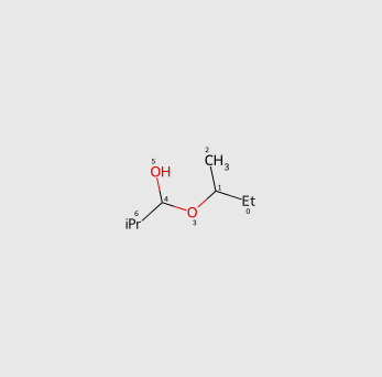 CCC(C)OC(O)C(C)C